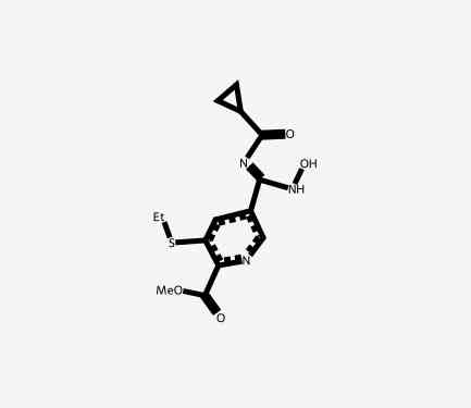 CCSc1cc(/C(=N/C(=O)C2CC2)NO)cnc1C(=O)OC